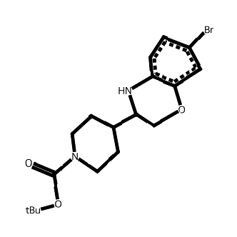 CC(C)(C)OC(=O)N1CCC(C2COc3cc(Br)ccc3N2)CC1